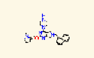 CN1CCC[C@H]1COc1nc2c(c(N3CCNCC3)n1)CN(Cc1cccc3ccccc13)C2